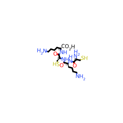 NCCCC[C@H](NC(=O)[C@H](CS)NC(=O)[C@H](CCCCN)NC(=O)[C@@H](N)CS)C(=O)O